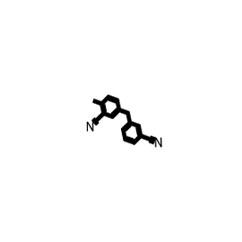 Cc1ccc(Cc2cccc(C#N)c2)cc1C#N